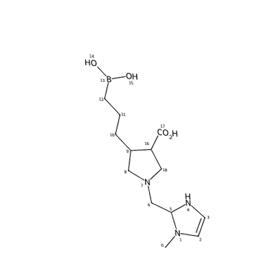 CN1C=CNC1CN1CC(CCCB(O)O)C(C(=O)O)C1